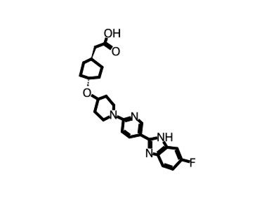 O=C(O)C[C@H]1CC[C@H](OC2CCN(c3ccc(-c4nc5ccc(F)cc5[nH]4)cn3)CC2)CC1